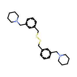 c1cc(CSSCc2cccc(CN3CCCCC3)c2)cc(CN2CCCCC2)c1